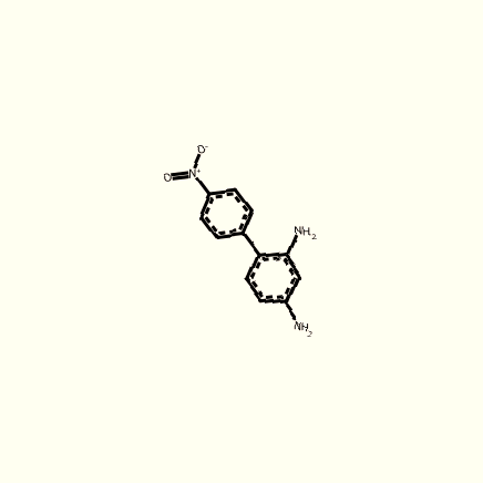 Nc1ccc(-c2ccc([N+](=O)[O-])cc2)c(N)c1